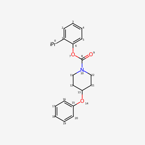 CC(C)c1ccccc1OC(=O)N1CCC(Oc2ccccc2)CC1